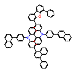 c1ccc(-c2ccc(-c3ccc(N(c4ccc(-c5cccc6ccccc56)cc4)c4ccccc4-c4ccccc4N(c4ccc(-c5ccc6ccccc6c5)cc4)c4ccc(-c5cccc6c5oc5c(-c7ccccc7)cccc56)cc4)cc3)c3ccccc23)cc1